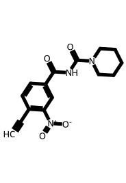 C#Cc1ccc(C(=O)NC(=O)N2CCCCC2)cc1[N+](=O)[O-]